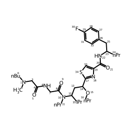 CCCCN(C)CC(=O)NCC(=O)N(CCC)C(CC(OCCC)c1nc(C(=O)NC(CCC)Cc2ccc(F)cc2)cs1)C(C)C